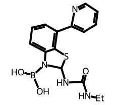 CCNC(=O)NC1Sc2c(-c3ccccn3)cccc2N1B(O)O